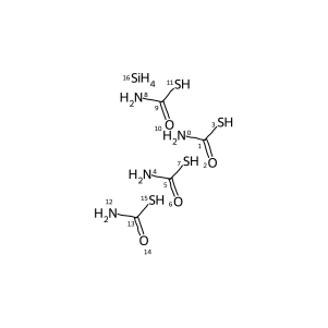 NC(=O)S.NC(=O)S.NC(=O)S.NC(=O)S.[SiH4]